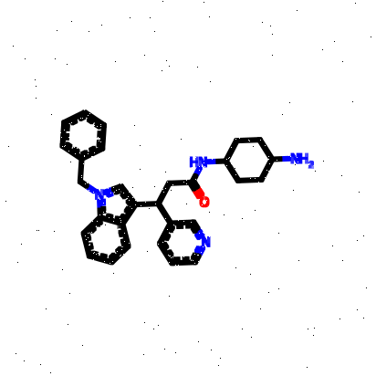 NC1CCC(NC(=O)CC(c2cccnc2)c2cn(Cc3ccccc3)c3ccccc23)CC1